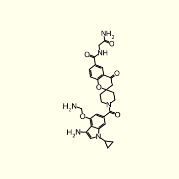 NCOc1cc(C(=O)N2CCC3(CC2)CC(=O)c2cc(C(=O)NCC(N)=O)ccc2O3)cc2c1c(N)cn2C1CC1